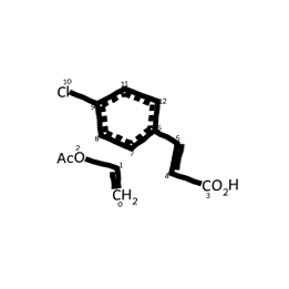 C=COC(C)=O.O=C(O)C=Cc1ccc(Cl)cc1